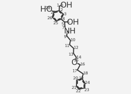 OCc1cc(C(O)CNCCCCCCOCCCc2ccccc2)ccc1O